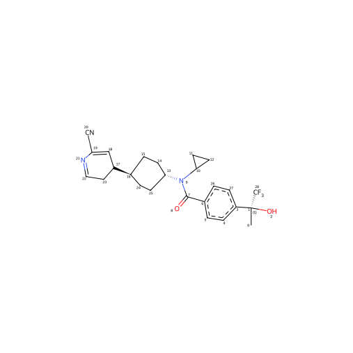 C[C@](O)(c1ccc(C(=O)N(C2CC2)[C@H]2CC[C@H](C3C=C(C#N)N=CC3)CC2)cc1)C(F)(F)F